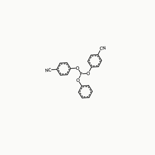 N#Cc1ccc(OP(Oc2ccccc2)Oc2ccc(C#N)cc2)cc1